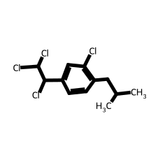 CC(C)Cc1ccc(C(Cl)C(Cl)Cl)cc1Cl